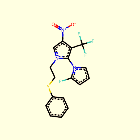 O=[N+]([O-])c1cn(CCSc2ccccc2)c(-n2cccc2F)c1C(F)(F)F